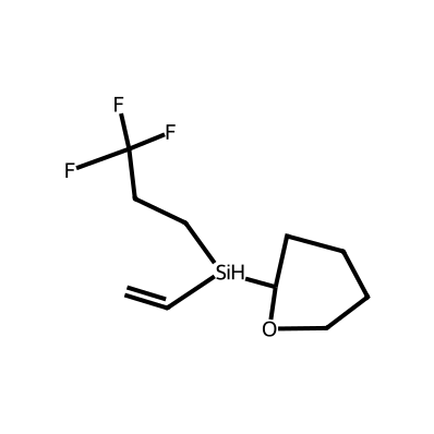 C=C[SiH](CCC(F)(F)F)C1CCCCO1